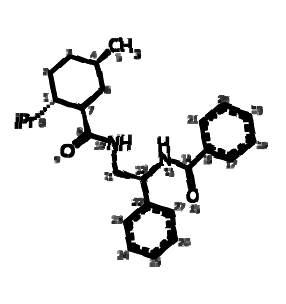 CC(C)[C@@H]1CC[C@@H](C)C[C@H]1C(=O)NC[C@@H](NC(=O)c1ccccc1)c1ccccc1